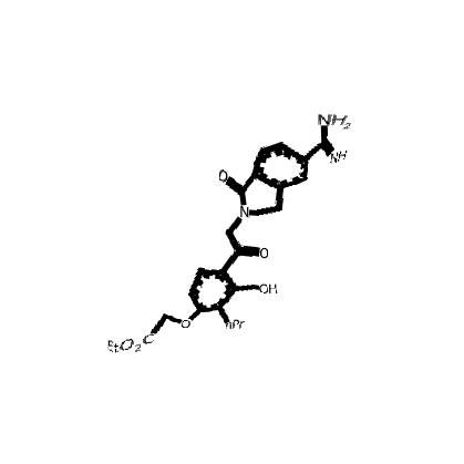 CCCc1c(OCC(=O)OCC)ccc(C(=O)CN2Cc3cc(C(=N)N)ccc3C2=O)c1O